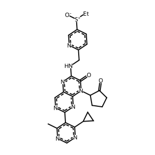 CC[S+]([O-])c1ccc(CNc2nc3cnc(-c4c(C)ncnc4C4CC4)nc3n(C3CCCC3=O)c2=O)nc1